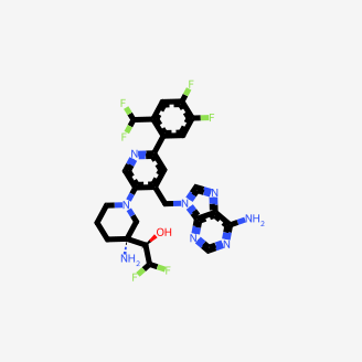 Nc1ncnc2c1ncn2Cc1cc(-c2cc(F)c(F)cc2C(F)F)ncc1N1CCC[C@](N)([C@@H](O)C(F)F)C1